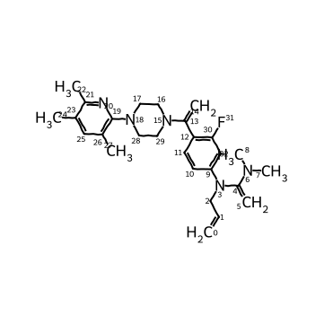 C=CCN(C(=C)N(C)C)c1ccc(C(=C)N2CCN(c3nc(C)c(C)cc3C)CC2)c(F)c1